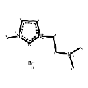 CN(C)CC[n+]1ccn(C)c1.[Br-]